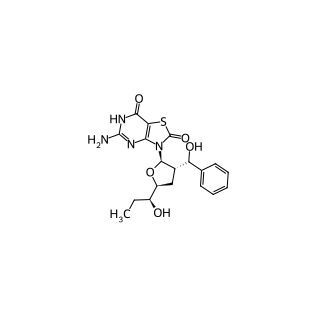 CC[C@H](O)[C@@H]1C[C@@H](C(O)c2ccccc2)[C@H](n2c(=O)sc3c(=O)[nH]c(N)nc32)O1